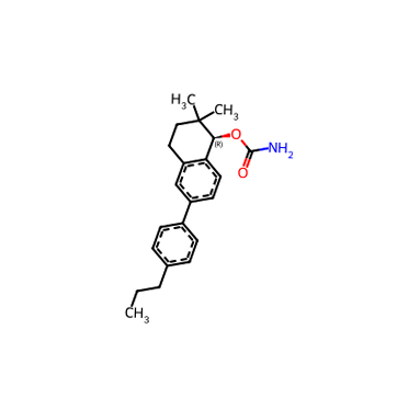 CCCc1ccc(-c2ccc3c(c2)CCC(C)(C)[C@H]3OC(N)=O)cc1